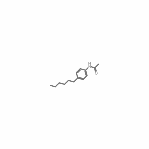 CCCCCCc1ccc(NC(C)=O)cc1